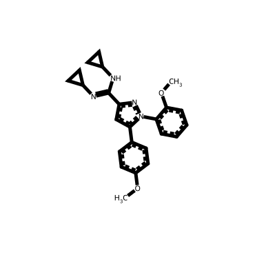 COc1ccc(-c2cc(C(=NC3CC3)NC3CC3)nn2-c2ccccc2OC)cc1